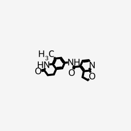 Cc1cc(NC(=O)c2ccnc3c2CCO3)cc2c1NC(=O)CC2